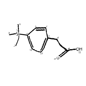 [CH3][Sn]([CH3])([CH3])[c]1ccc(CC(=O)O)cc1